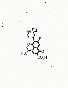 C[C@H]1COc2c(N3CCNC4(CCC4)C3)c(F)cc3c(=O)c(C(=O)O)cn1c23